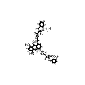 O=C(O)N[C@@H](Cc1ccccc1)C(=O)NCCNc1ccc(NCCNC(=O)[C@H](Cc2ccccc2)NC(=O)O)c2c1C(=O)c1c(O)ccc(O)c1C2=O